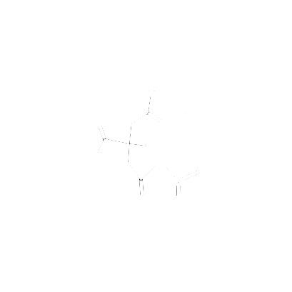 O=C(O)CC(O)(CC(=O)[O][V](=[O])=[O])C(=O)O.[KH]